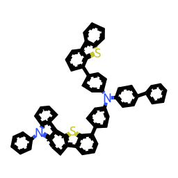 c1ccc(-c2ccc(N(c3ccc(-c4cccc5c4sc4ccccc45)cc3)c3ccc(-c4cccc5c4sc4c5ccc5c4c4ccccc4n5-c4ccccc4)cc3)cc2)cc1